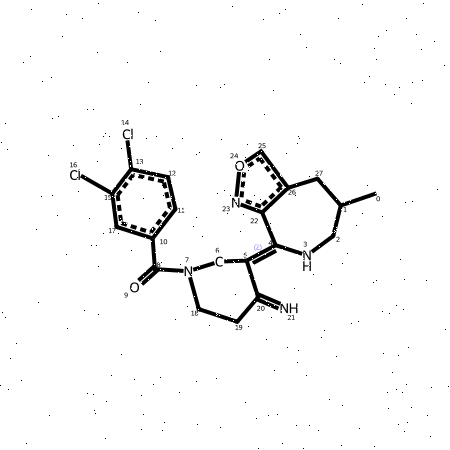 CC1CN/C(=C2/CN(C(=O)c3ccc(Cl)c(Cl)c3)CCC2=N)c2nocc2C1